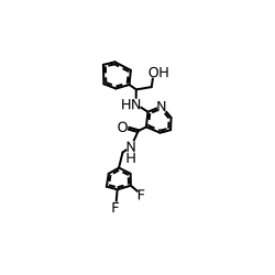 O=C(NCc1ccc(F)c(F)c1)c1cccnc1NC(CO)c1ccccc1